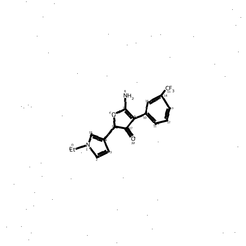 CCn1ccc(C2OC(N)=C(c3cccc(C(F)(F)F)c3)C2=O)c1